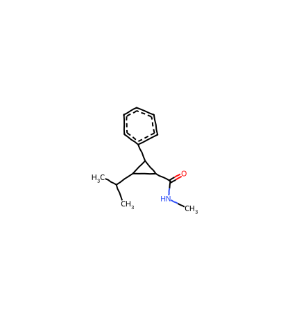 CNC(=O)C1C(c2ccccc2)C1C(C)C